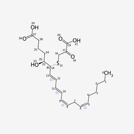 CCCCC/C=C\C\C=C/C=C/C=C/[C@@H](SCC(=O)C(=O)O)[C@@H](O)CCCC(=O)O